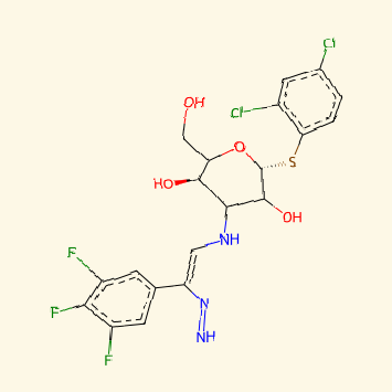 N=N/C(=C\NC1C(O)[C@@H](Sc2ccc(Cl)cc2Cl)OC(CO)[C@@H]1O)c1cc(F)c(F)c(F)c1